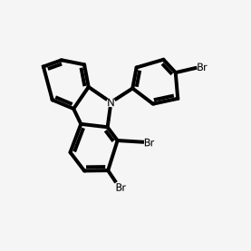 Brc1ccc(-n2c3ccccc3c3ccc(Br)c(Br)c32)cc1